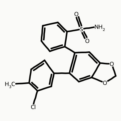 Cc1ccc(-c2cc3c(cc2-c2ccccc2S(N)(=O)=O)OCO3)cc1Cl